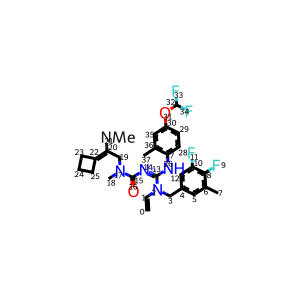 C=CN(Cc1cc(C)c(F)c(F)c1)/C(=N\C(=O)N(C)CC(NC)=C1CCC1)Nc1ccc(OC(F)F)cc1C